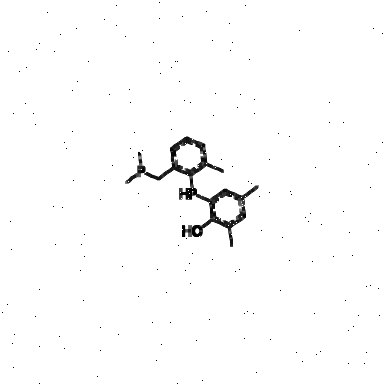 Cc1cc(C)c(O)c(Pc2c(C)cccc2CP(C)C)c1